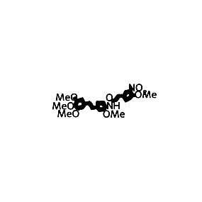 COc1cc(/C=C/c2cc(OC)c(OC)c(OC)c2)ccc1NC(=O)/C=C/c1ccc(OC)c([N+](=O)[O-])c1